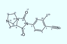 N#Cc1ccc(N2C(=O)C3CN4CC[N+]3(C4)C2=O)cc1I